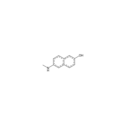 CNc1ccc2cc(O)ccc2c1